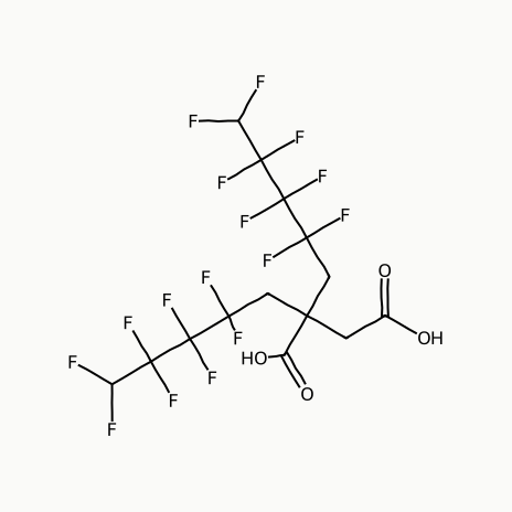 O=C(O)CC(CC(F)(F)C(F)(F)C(F)(F)C(F)F)(CC(F)(F)C(F)(F)C(F)(F)C(F)F)C(=O)O